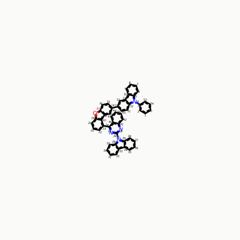 c1ccc(-n2c3ccccc3c3cc(-c4ccc5oc6cccc(-c7nc(-n8c9ccccc9c9ccccc98)nc8ccccc78)c6c5c4)ccc32)cc1